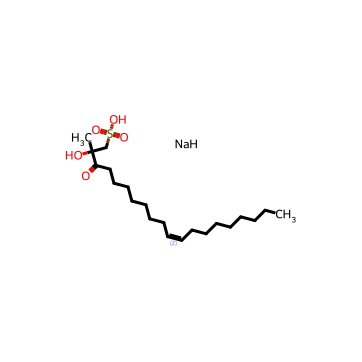 CCCCCCCC/C=C\CCCCCCCC(=O)C(C)(O)CS(=O)(=O)O.[NaH]